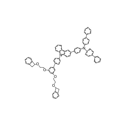 c1ccc(-c2ccc(N(c3ccc(-c4ccccc4)cc3)c3ccc(-c4ccc5c(c4)c4ccccc4n5-c4ccc(-c5cc(OCCOC6Cc7ccccc76)cc(OCCOC6Cc7ccccc76)c5)cc4)cc3)cc2)cc1